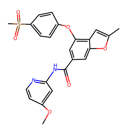 COc1ccnc(NC(=O)c2cc(Oc3ccc(S(C)(=O)=O)cc3)c3cc(C)oc3c2)c1